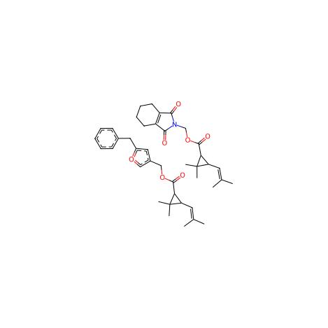 CC(C)=CC1C(C(=O)OCN2C(=O)C3=C(CCCC3)C2=O)C1(C)C.CC(C)=CC1C(C(=O)OCc2coc(Cc3ccccc3)c2)C1(C)C